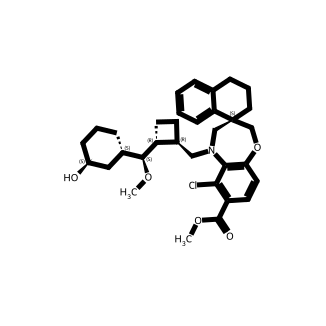 COC(=O)c1ccc2c(c1Cl)N(C[C@@H]1CC[C@H]1[C@@H](OC)[C@H]1CCC[C@H](O)C1)C[C@@]1(CCCc3ccccc31)CO2